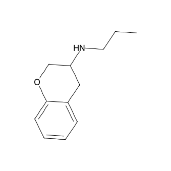 CCCNC1COc2ccccc2C1